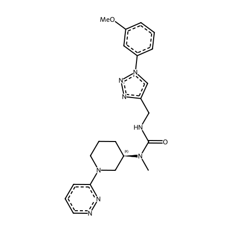 COc1cccc(-n2cc(CNC(=O)N(C)[C@@H]3CCCN(c4cccnn4)C3)nn2)c1